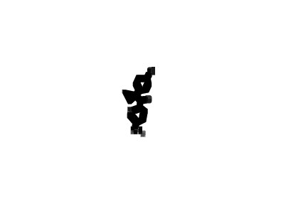 Nc1ccc(C(=O)C2(c3ccc(Cl)cc3)CC2)nc1